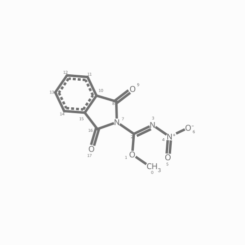 CO/C(=N\[N+](=O)[O-])N1C(=O)c2ccccc2C1=O